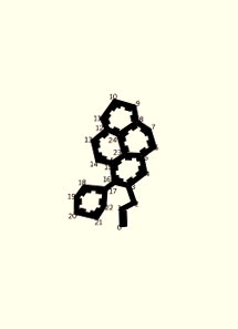 C=CCc1cc2ccc3cccc4ccc(c1-c1ccccc1)c2c34